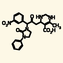 CC1=C(C(=O)O)C(CC(=O)C(c2cccc([N+](=O)[O-])c2)N2CCN(c3ccccc3)C2=O)NCN1